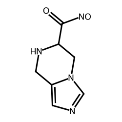 O=NC(=O)C1Cn2cncc2CN1